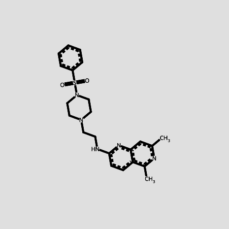 Cc1cc2nc(NCCN3CCN(S(=O)(=O)c4ccccc4)CC3)ccc2c(C)n1